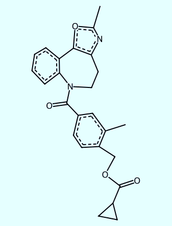 Cc1nc2c(o1)-c1ccccc1N(C(=O)c1ccc(COC(=O)C3CC3)c(C)c1)CC2